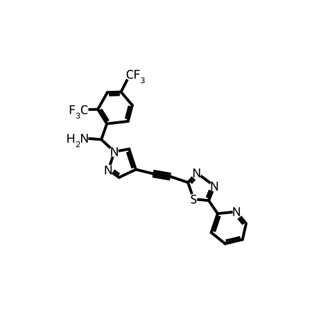 NC(c1ccc(C(F)(F)F)cc1C(F)(F)F)n1cc(C#Cc2nnc(-c3ccccn3)s2)cn1